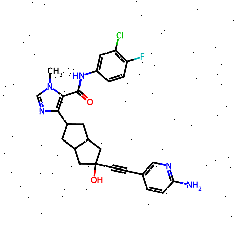 Cn1cnc(C2CC3CC(O)(C#Cc4ccc(N)nc4)CC3C2)c1C(=O)Nc1ccc(F)c(Cl)c1